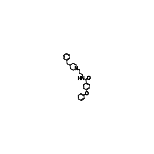 O=C(NCCCN1CCC(Cc2ccccc2)CC1)c1ccc(Oc2ccccc2)cc1